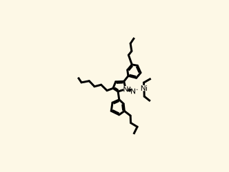 CCCCCCC1=C(c2cccc(CCCC)c2)[N+](=[N-])C(c2cccc(CCCC)c2)=C1.C[CH2][Ni][CH2]C